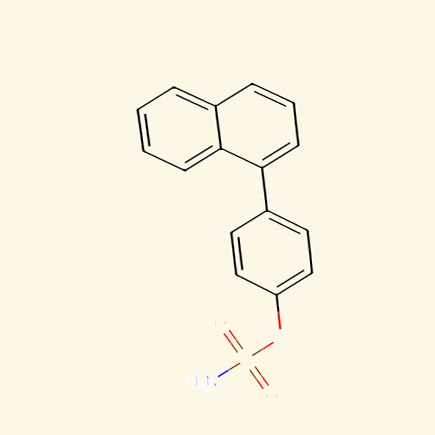 NS(=O)(=O)Oc1ccc(-c2cccc3ccccc23)cc1